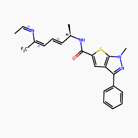 C\C=N/C(=C\C=C\[C@@H](C)NC(=O)c1cc2c(-c3ccccc3)nn(C)c2s1)C(F)(F)F